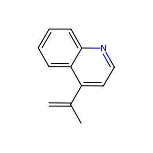 C=C(C)c1ccnc2ccccc12